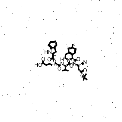 Cc1ccc2c(c1)CCN(C(=O)[C@@H](NC(=O)[C@H](CCCC(=O)O)NC(=O)C1Cc3ccccc3N1)C(C)C)[C@@H]2C(=O)N[C@H](C#N)CC(=O)OC(C)(C)C